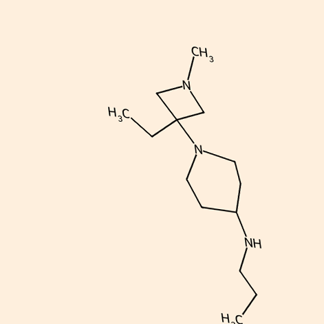 CCCNC1CCN(C2(CC)CN(C)C2)CC1